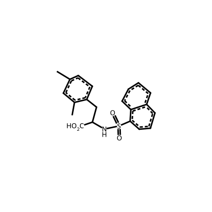 Cc1ccc(CC(NS(=O)(=O)c2cccc3ccccc23)C(=O)O)c(C)c1